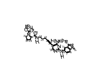 CCCNc1nc(Nc2ccc3c(c2)c(F)nn3C)ncc1C#CCCCNC(=O)[C@@H]1CCCN1C(=O)OC(C)(C)C